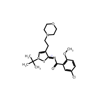 COc1ccc(Cl)cc1C(=O)/N=c1\sn(C(C)(C)C)cc1CCN1CCOCC1